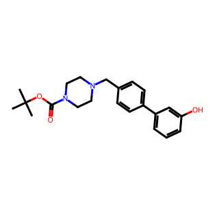 CC(C)(C)OC(=O)N1CCN(Cc2ccc(-c3cccc(O)c3)cc2)CC1